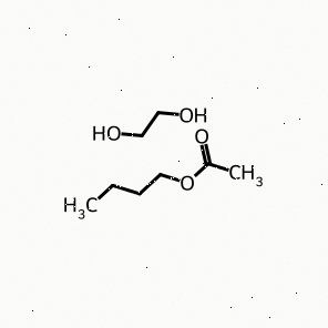 CCCCOC(C)=O.OCCO